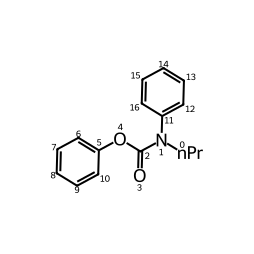 CCCN(C(=O)Oc1ccccc1)c1ccccc1